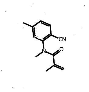 C=C(C)C(=O)N(C)c1cc(C)ccc1C#N